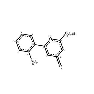 CCOC(=O)c1cc(=O)cc(-c2ccccc2[N+](=O)[O-])o1